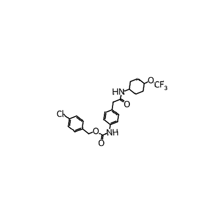 O=C(Cc1ccc(NC(=O)OCc2ccc(Cl)cc2)cc1)NC1CCC(OC(F)(F)F)CC1